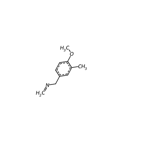 C=NCc1ccc(OC)c(C)c1